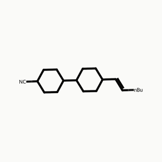 CCCC/C=C/C1CCC(C2CCC(C#N)CC2)CC1